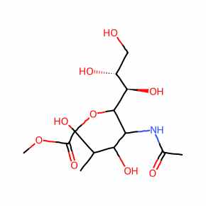 COC(=O)C1(O)OC([C@H](O)[C@H](O)CO)C(NC(C)=O)C(O)C1C